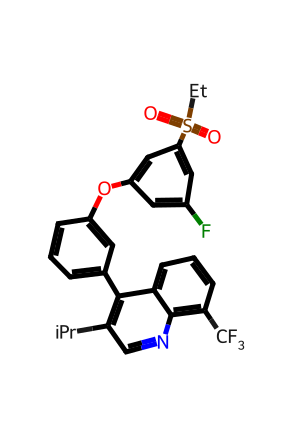 CCS(=O)(=O)c1cc(F)cc(Oc2cccc(-c3c(C(C)C)cnc4c(C(F)(F)F)cccc34)c2)c1